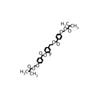 C=C(C)C(=O)OCOc1ccc(C(=O)OCCc2ccc(OC(=O)c3ccc(OCOC(=O)C(=C)C)cc3)c(F)c2)cc1